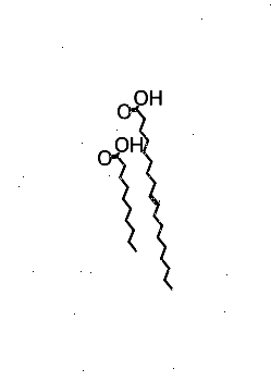 CCCCCCCCC=CCCCCCCCC(=O)O.CCCCCCCCCC(=O)O